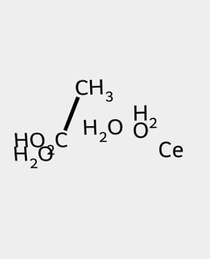 CC(=O)O.O.O.O.[Ce]